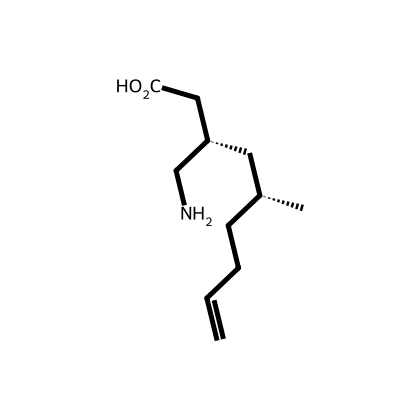 C=CCC[C@@H](C)C[C@H](CN)CC(=O)O